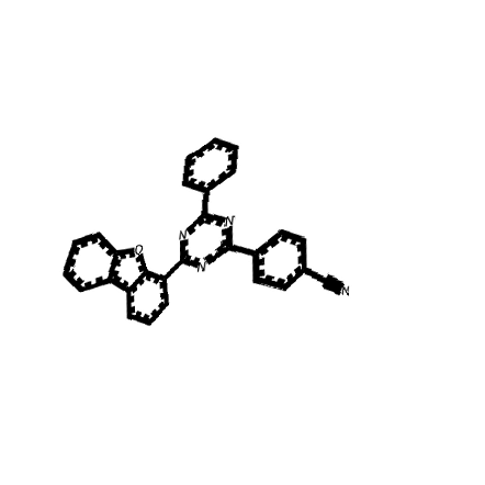 N#Cc1ccc(-c2nc(-c3ccccc3)nc(-c3cccc4c3oc3ccccc34)n2)cc1